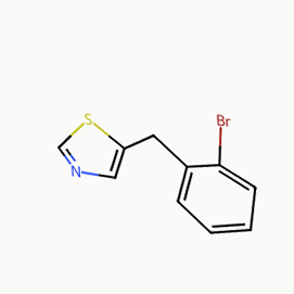 Brc1ccccc1Cc1cncs1